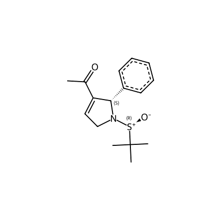 CC(=O)C1=CCN([S@@+]([O-])C(C)(C)C)[C@H]1c1ccccc1